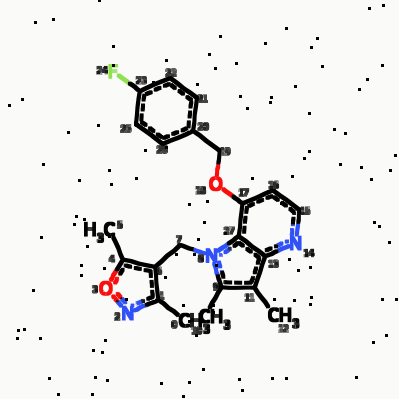 Cc1noc(C)c1Cn1c(C)c(C)c2nccc(OCc3ccc(F)cc3)c21